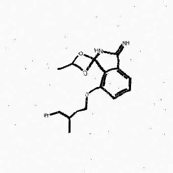 CC(C)CC(C)COc1cccc2c1C1(NC2=N)OC(C)O1